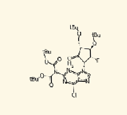 C=C1[C@@H](n2cnc3c(Cl)nc(N(C(=O)OC(C)(C)C)C(=O)OC(C)(C)C)nc32)[C@@H](F)[C@H](OC(C)(C)C)[C@H]1COC(C)(C)C